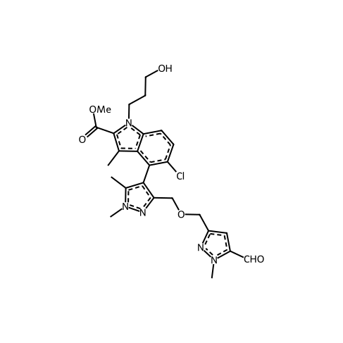 COC(=O)c1c(C)c2c(-c3c(COCc4cc(C=O)n(C)n4)nn(C)c3C)c(Cl)ccc2n1CCCO